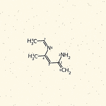 C=C(N)/C=C(C)\N=C/C